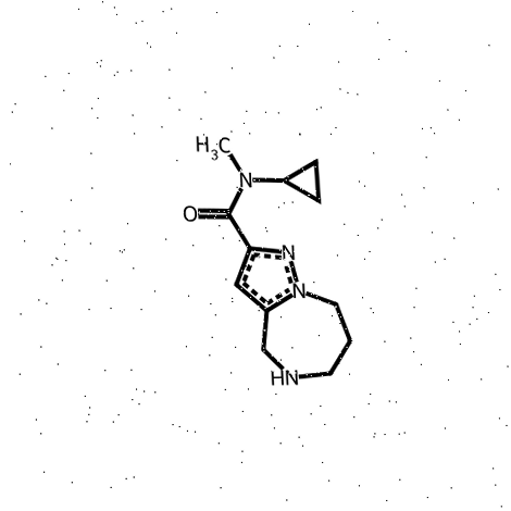 CN(C(=O)c1cc2n(n1)CCCNC2)C1CC1